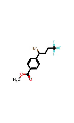 COC(=O)c1ccc(C(Br)CCC(F)(F)F)cc1